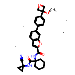 COC1(c2ccc(-c3ccc4cc(C(=O)NC5(C(=O)NC6(C#N)CC6)CCCCC5)oc4c3)cc2)COC1